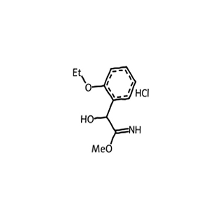 CCOc1ccccc1C(O)C(=N)OC.Cl